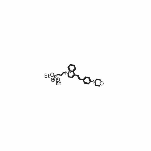 CCOP(=O)(CCC[n+]1ccc(C=Cc2ccc(N3CCOCC3)cc2)c2ccccc21)OCC